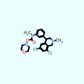 CN1Cc2c(Cl)cc(Cl)cc2C(c2cccc(N(C)C(=O)ON3CCOCC3)c2)C1